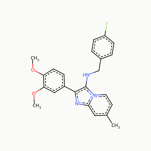 COc1ccc(-c2nc3cc(C)ccn3c2NCc2ccc(F)cc2)cc1OC